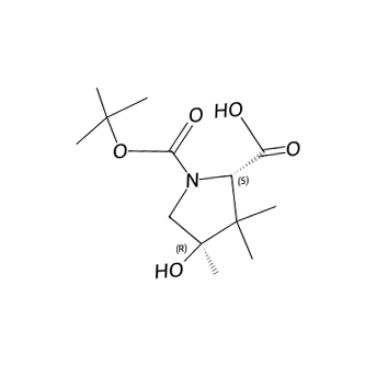 CC(C)(C)OC(=O)N1C[C@](C)(O)C(C)(C)[C@H]1C(=O)O